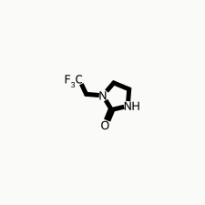 O=C1NCCN1CC(F)(F)F